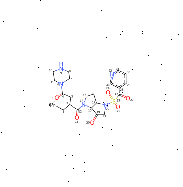 CC(C)CC(CC(=O)N1CCNCC1)C(=O)N1CCC2C1C(=O)CN2S(=O)(=O)C(=O)c1cccnc1